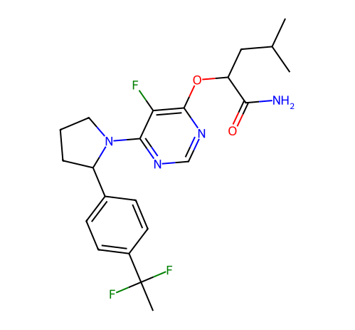 CC(C)CC(Oc1ncnc(N2CCCC2c2ccc(C(C)(F)F)cc2)c1F)C(N)=O